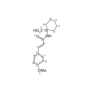 COc1ccc(/C=C/C(=O)NC2(C(=O)O)CCCCC2)cc1